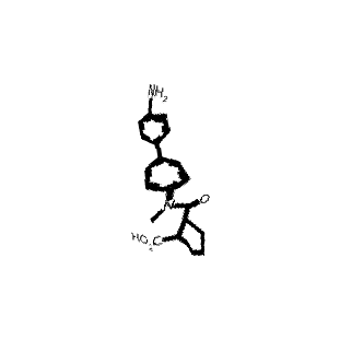 CN(C(=O)C1CCCC1C(=O)O)c1ccc(-c2ccc(N)cc2)cc1